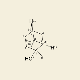 CC1(O)CC[C@@H]2C[C@@H]1C2(C)C